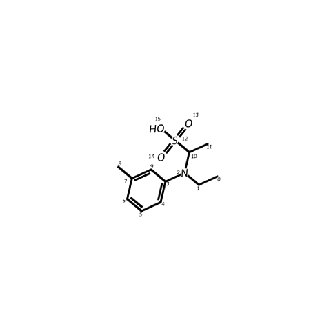 CCN(c1cccc(C)c1)C(C)S(=O)(=O)O